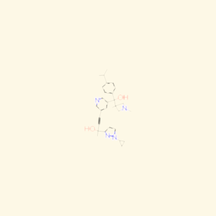 CC(C)c1ccc(C(O)(c2cncc(C#CC(C)(O)c3ccn(C4CC4)n3)c2)C2(C)CN(C)C2)cc1